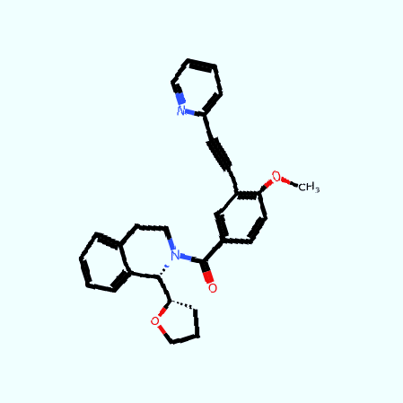 COc1ccc(C(=O)N2CCc3ccccc3[C@H]2[C@@H]2CCCO2)cc1C#Cc1ccccn1